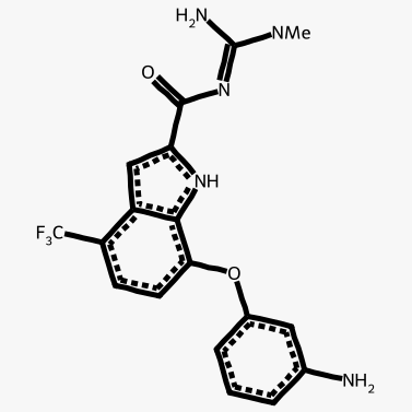 CNC(N)=NC(=O)c1cc2c(C(F)(F)F)ccc(Oc3cccc(N)c3)c2[nH]1